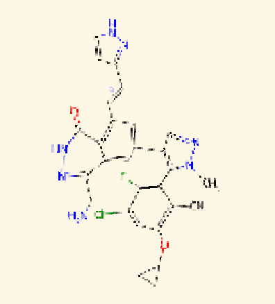 Cn1ncc(-c2cc(/C=C/c3cc[nH]n3)c3c(=O)[nH]nc(CN)c3c2)c1-c1c(F)c(Cl)cc(OC2CC2)c1C#N